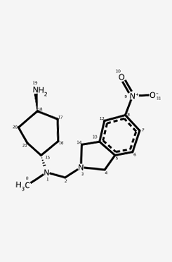 CN(CN1Cc2ccc([N+](=O)[O-])cc2C1)[C@H]1CC[C@H](N)CC1